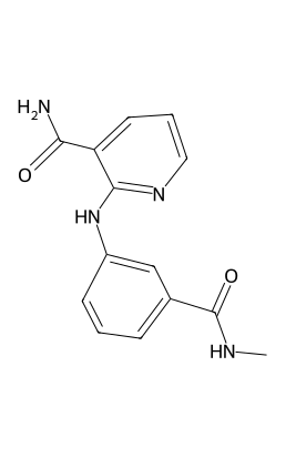 CNC(=O)c1cccc(Nc2ncccc2C(N)=O)c1